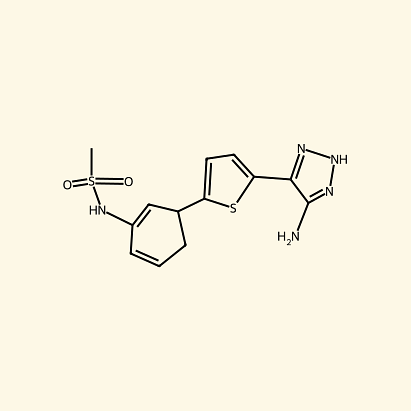 CS(=O)(=O)NC1=CC(c2ccc(-c3n[nH]nc3N)s2)CC=C1